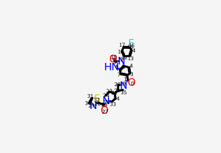 O=C(c1ccc2c(c1)[nH]c(=O)n2-c1ccc(F)cc1)N1CC(C2CCN(C(=O)c3nccs3)CC2)C1